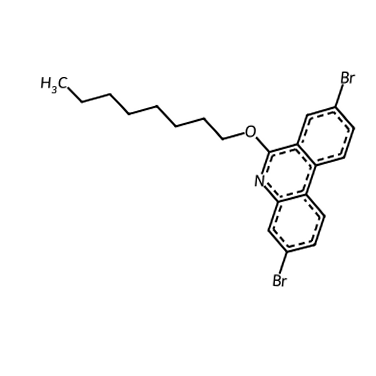 CCCCCCCCOc1nc2cc(Br)ccc2c2ccc(Br)cc12